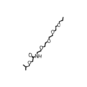 CCCOCCOCCOCCOCCNC(=O)COCC(C)C